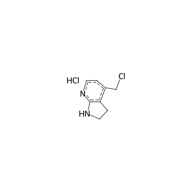 Cl.ClCc1ccnc2c1CCN2